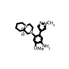 COc1cc(N2CCN3CCCC[C@@H]3C2)c(-c2cnn(C)c2)cc1N